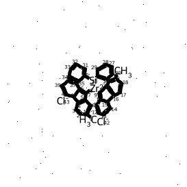 Cc1ccc2c(c1)[C]([Zr+2]([C]1=C3C=CC=CC3c3ccc(C)cc31)=[Si](c1ccccc1)c1ccccc1)=C1C=CC=CC12.[Cl-].[Cl-]